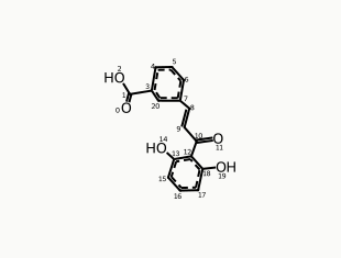 O=C(O)c1cccc(C=CC(=O)c2c(O)cccc2O)c1